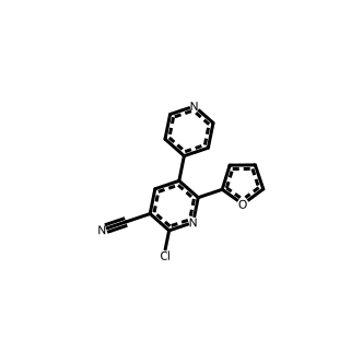 N#Cc1cc(-c2ccncc2)c(-c2ccco2)nc1Cl